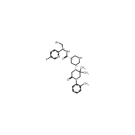 Cc1ccccc1N1CC(C)(C)N([C@H]2CNC[C@@H](C(=O)N[C@H](CC(C)C)c3ccc(F)cn3)C2)CC1=O